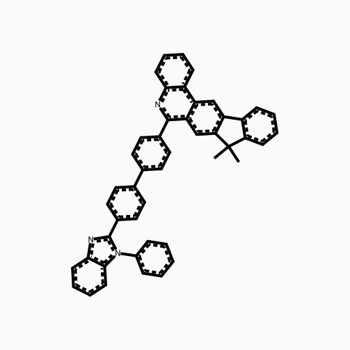 CC1(C)c2ccccc2-c2cc3c(cc21)c(-c1ccc(-c2ccc(-c4nc5ccccc5n4-c4ccccc4)cc2)cc1)nc1ccccc13